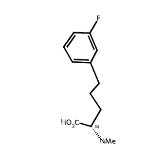 CN[C@@H](CCCc1cccc(F)c1)C(=O)O